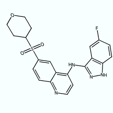 O=S(=O)(c1ccc2nccc(Nc3n[nH]c4ccc(F)cc34)c2c1)C1CCOCC1